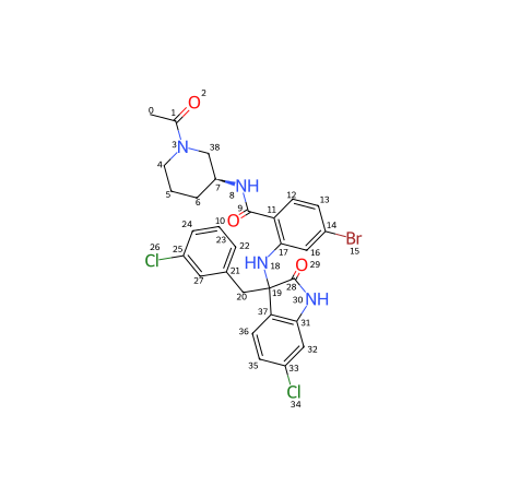 CC(=O)N1CCC[C@H](NC(=O)c2ccc(Br)cc2NC2(Cc3cccc(Cl)c3)C(=O)Nc3cc(Cl)ccc32)C1